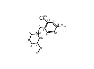 CCC1CCCN(Cc2ccc(F)cc2Cl)C1